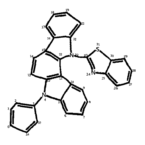 c1ccc(-n2c3ccccc3c3c2ccc2c4ccccc4n(-c4nc5ccccc5s4)c23)cc1